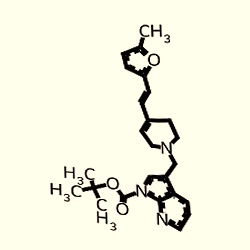 Cc1ccc(/C=C/C2=CCN(Cc3cn(C(=O)OC(C)(C)C)c4ncccc34)CC2)o1